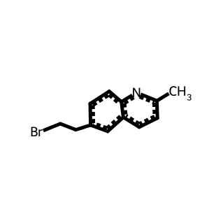 Cc1ccc2cc(CCBr)ccc2n1